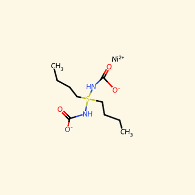 CCCCS(CCCC)(NC(=O)[O-])NC(=O)[O-].[Ni+2]